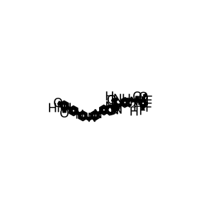 COc1c(F)c(F)c(F)c(F)c1C(=O)NCc1ccc(-c2nn3c(c2C(N)=O)Nc2ccc(N4CCN(CC5CCN(c6ccc(N7CCC(=O)NC7=O)cc6)CC5)CC4)cc2CC3)cc1C